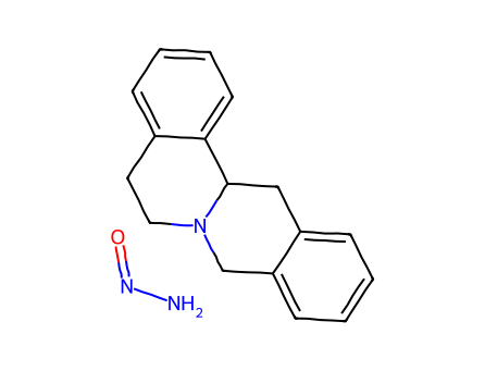 NN=O.c1ccc2c(c1)CC1c3ccccc3CCN1C2